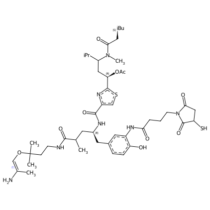 CC[C@H](C)CC(=O)N(C)C(C[C@@H](OC(C)=O)c1nc(C(=O)N[C@@H](Cc2ccc(O)c(NC(=O)CCCN3C(=O)CC(S)C3=O)c2)CC(C)C(=O)NCCC(C)(C)O/C=C(\C)N)cs1)C(C)C